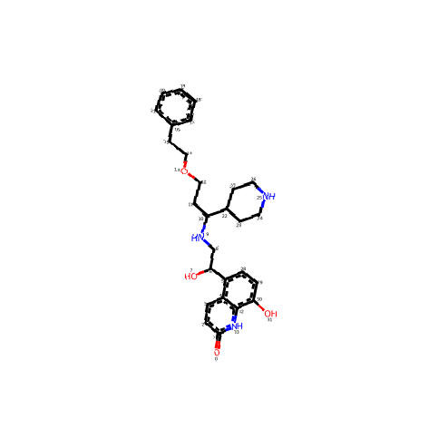 O=c1ccc2c(C(O)CNC(CCOCCc3ccccc3)C3CCNCC3)ccc(O)c2[nH]1